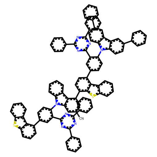 N#Cc1cc(-c2ccc(-c3ccc(-n4c5ccc(-c6ccccc6)cc5c5cc(-c6ccccc6)ccc54)c(-c4nc(-c5ccccc5)nc(-c5ccccc5)n4)c3)c3c2sc2ccccc23)c2c3ccccc3n(-c3ccc(-c4cccc5sc6ccccc6c45)cc3-c3nc(-c4ccccc4)nc(-c4ccccc4)n3)c2c1